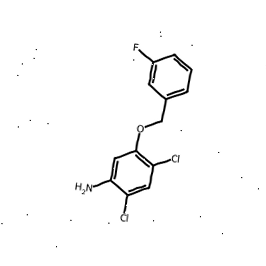 Nc1cc(OCc2cccc(F)c2)c(Cl)cc1Cl